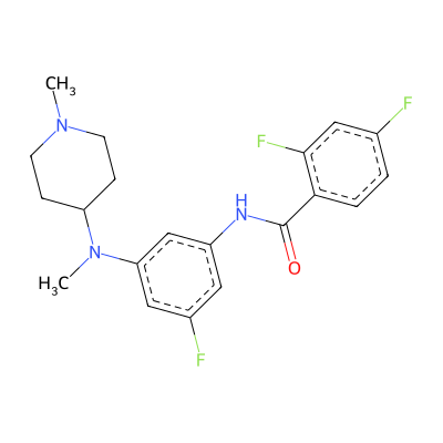 CN1CCC(N(C)c2cc(F)cc(NC(=O)c3ccc(F)cc3F)c2)CC1